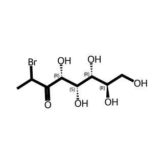 CC(Br)C(=O)[C@H](O)[C@@H](O)[C@H](O)[C@H](O)CO